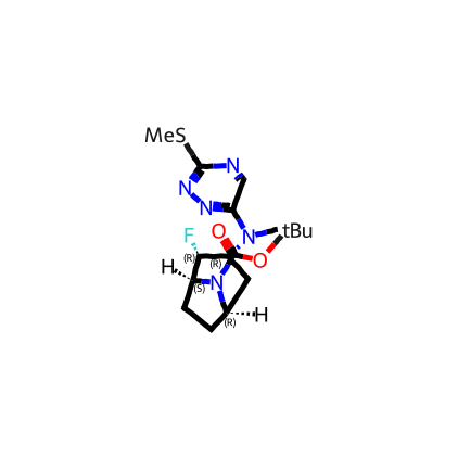 CSc1ncc(N(C)[C@@H]2C[C@H]3CC[C@@H]([C@@H]2F)N3C(=O)OC(C)(C)C)nn1